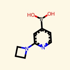 OB(O)c1ccnc(N2CCC2)c1